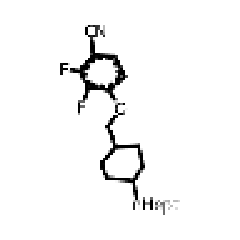 CCCCCCCC1CCC(COc2ccc(C#N)c(F)c2F)CC1